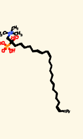 CCC/C=C\CCCCCCCCCC/C=C\CCCCCCCC(O)(C[N+](C)(C)C)P(=O)(O)O